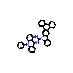 c1ccc(N2c3ccccc3-c3nc(-n4c5ccccc5c5cc6c7ccccc7c7ccccc7c6cc54)nc4cccc2c34)cc1